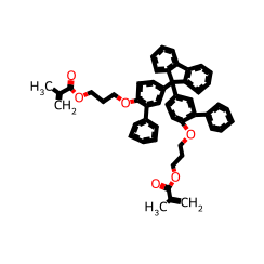 C=C(C)C(=O)OCCCOc1ccc(C2(c3ccc(OCCCOC(=O)C(=C)C)c(-c4ccccc4)c3)c3ccccc3-c3ccccc32)cc1-c1ccccc1